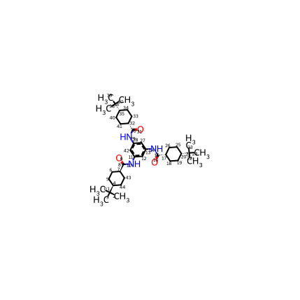 CC(C)(C)[C@H]1CC[C@@H](C(=O)Nc2cc(NC(=O)[C@H]3CC[C@@H](C(C)(C)C)CC3)cc(NC(=O)[C@H]3CC[C@@H](C(C)(C)C)CC3)c2)CC1